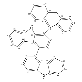 c1ccc2c(-c3ccc(-c4cccc5oc6ccccc6c45)c4c3oc3ccccc34)c3ccccc3cc2c1